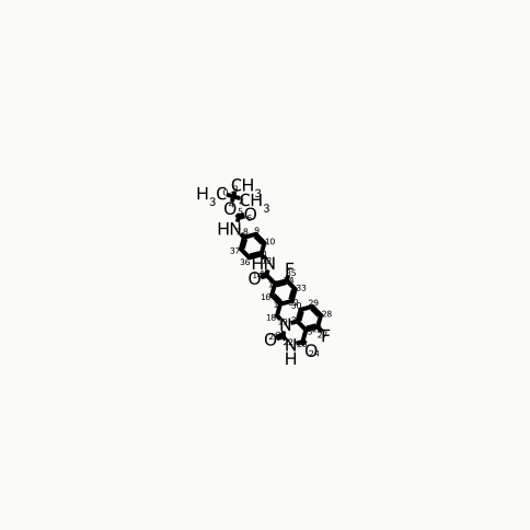 CC(C)(C)OC(=O)Nc1ccc(NC(=O)c2cc(Cn3c(=O)[nH]c(=O)c4c(F)cccc43)ccc2F)cc1